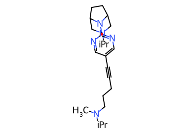 CC(C)N(C)CCCC#Cc1cnc(N2C3CCC2CN(C(C)C)C3)nc1